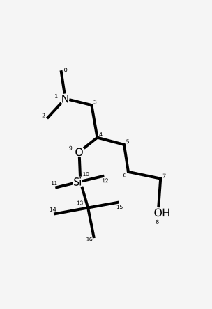 CN(C)CC(CCCO)O[Si](C)(C)C(C)(C)C